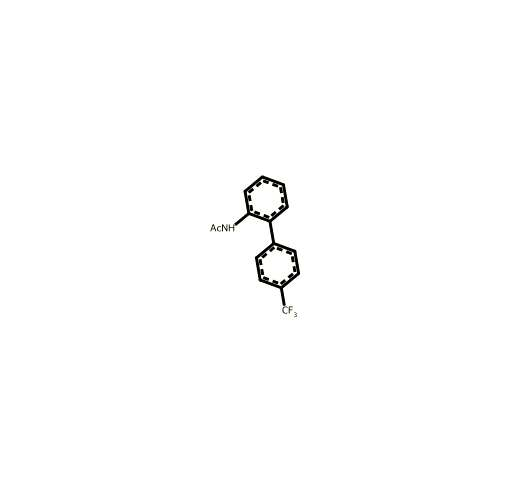 CC(=O)Nc1ccccc1-c1ccc(C(F)(F)F)cc1